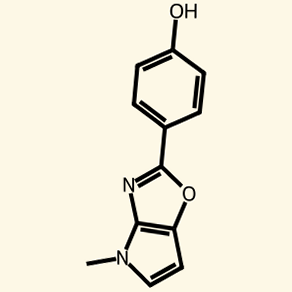 Cn1ccc2oc(-c3ccc(O)cc3)nc21